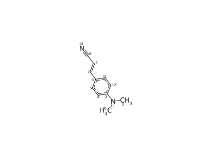 CN(C)c1ccc(C=CC#N)cc1